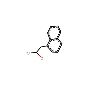 CCCCC([O])Cc1cccc2ccccc12